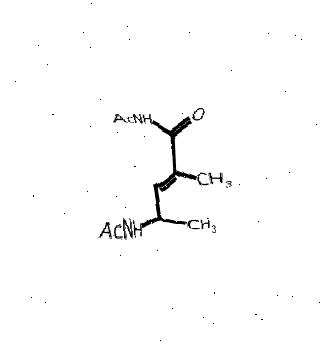 CC(=O)NC(=O)C(C)=CC(C)NC(C)=O